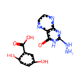 NNc1nc2nccnc2c(=O)[nH]1.O=C(O)c1cc(O)ccc1O